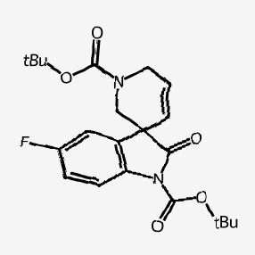 CC(C)(C)OC(=O)N1CC=CC2(C1)C(=O)N(C(=O)OC(C)(C)C)c1ccc(F)cc12